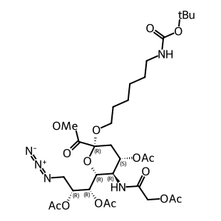 COC(=O)[C@@]1(OCCCCCCNC(=O)OC(C)(C)C)C[C@H](OC(C)=O)[C@@H](NC(=O)COC(C)=O)[C@H]([C@H](OC(C)=O)[C@@H](CN=[N+]=[N-])OC(C)=O)O1